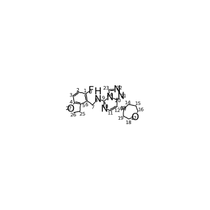 Fc1ccc2c(c1CNc1ncc([C@@H]3CCCOCC3)c3nncn13)CCO2